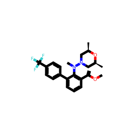 C=C(OC)c1cccc(-c2ccc(C(F)(F)F)cc2)c1N(C)N1C[C@@H](C)O[C@@H](C)C1